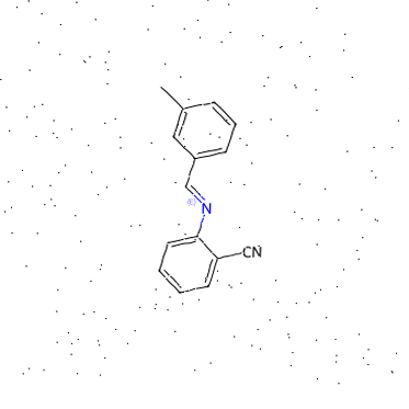 Cc1cccc(/C=N/c2ccccc2C#N)c1